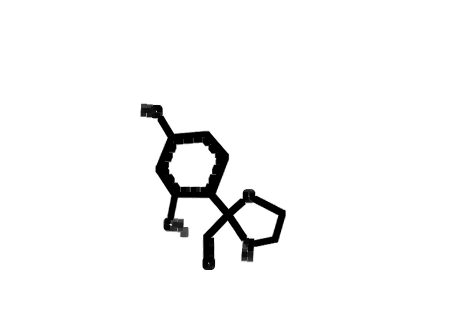 Cc1cc(O)ccc1C1(C=O)NCCO1